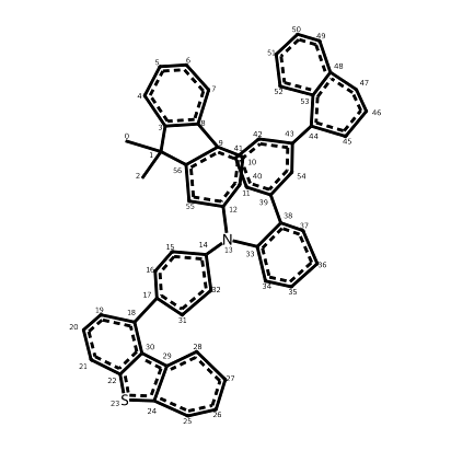 CC1(C)c2ccccc2-c2ccc(N(c3ccc(-c4cccc5sc6ccccc6c45)cc3)c3ccccc3-c3cccc(-c4cccc5ccccc45)c3)cc21